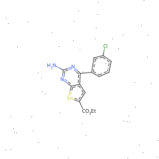 CCOC(=O)c1cc2c(-c3cccc(Cl)c3)nc(N)nc2s1